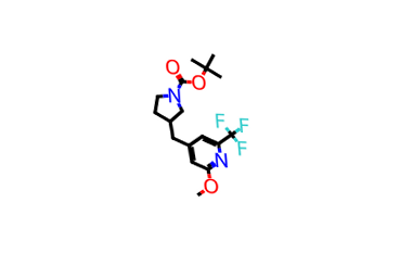 COc1cc(CC2CCN(C(=O)OC(C)(C)C)C2)cc(C(F)(F)F)n1